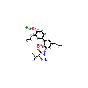 C=CCc1cc(NC(=O)C(N)C(C)C)c(O)c(-c2ccc(O)c(CC=C)c2)c1.Cl